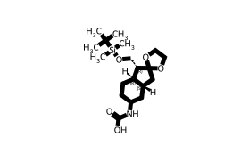 CC(C)(C)[Si](C)(C)OC[C@H]1[C@@H]2CCC(NC(=O)O)C[C@H]2CC12OCCO2